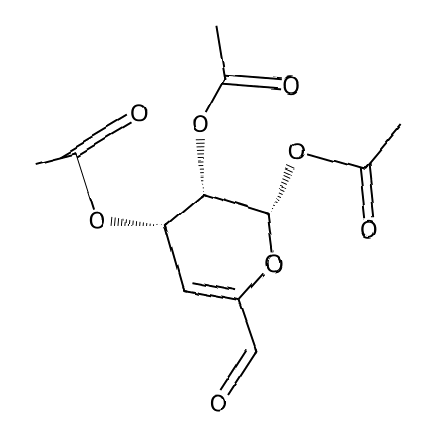 CC(=O)O[C@@H]1OC(C=O)=C[C@H](OC(C)=O)[C@@H]1OC(C)=O